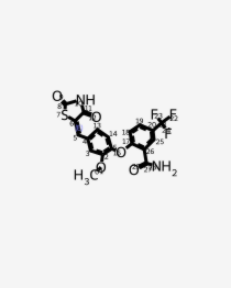 COc1cc(/C=C2/SC(=O)NC2=O)ccc1Oc1ccc(C(F)(F)F)cc1C(N)=O